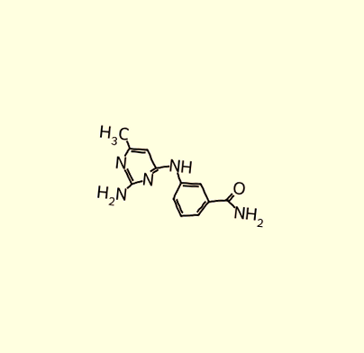 Cc1cc(Nc2cccc(C(N)=O)c2)nc(N)n1